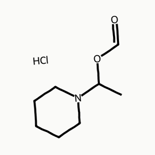 CC(OC=O)N1CCCCC1.Cl